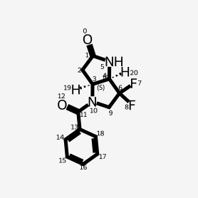 O=C1C[C@H]2[C@@H](N1)C(F)(F)CN2C(=O)c1ccccc1